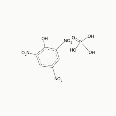 O=P(O)(O)O.O=[N+]([O-])c1cc([N+](=O)[O-])c(O)c([N+](=O)[O-])c1